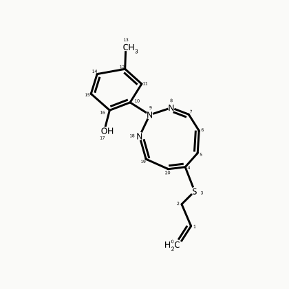 C=CCSc1cccnn(-c2cc(C)ccc2O)ncc1